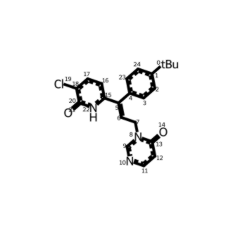 CC(C)(C)c1ccc(/C(=C\Cn2cnccc2=O)c2ccc(Cl)c(=O)[nH]2)cc1